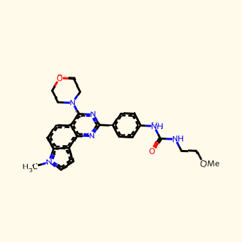 COCCNC(=O)Nc1ccc(-c2nc(N3CCOCC3)c3ccc4c(ccn4C)c3n2)cc1